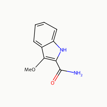 COc1c(C(N)=O)[nH]c2ccccc12